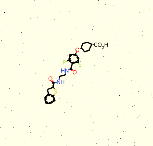 O=C(NCCNC(=O)C1Cc2ccccc2S1)c1c(F)cc(O[C@H]2CC[C@@H](C(=O)O)CC2)cc1F